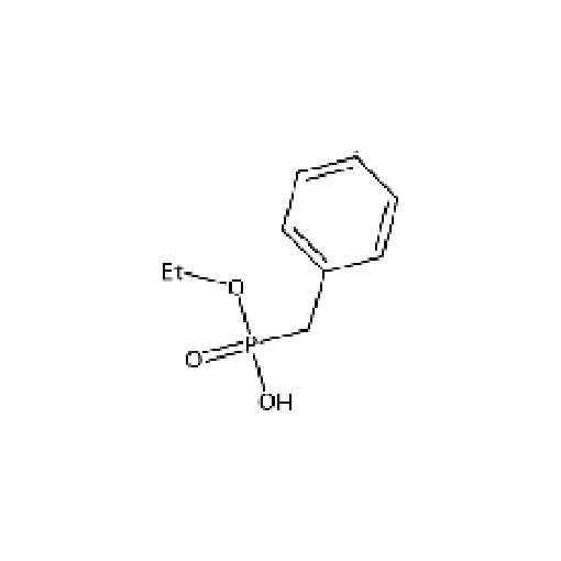 CCOP(=O)(O)Cc1cc[c]cc1